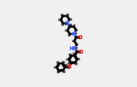 O=C(NCCC(=O)N1CCC(N2CCCCC2)CC1)c1ccc(Oc2ccccc2)cc1